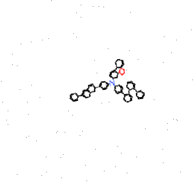 c1ccc(-c2ccc3cc(-c4ccc(N(c5ccc(-c6ccccc6-c6ccccc6-c6ccccc6)cc5)c5ccc6c(c5)oc5ccccc56)cc4)ccc3c2)cc1